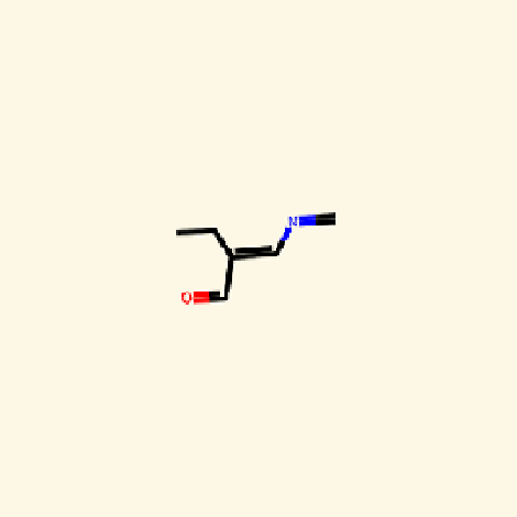 C=N/C=C(/C=O)CC